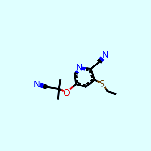 CCSc1cc(OC(C)(C)C#N)cnc1C#N